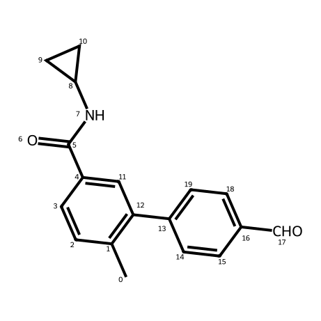 Cc1ccc(C(=O)NC2CC2)cc1-c1ccc(C=O)cc1